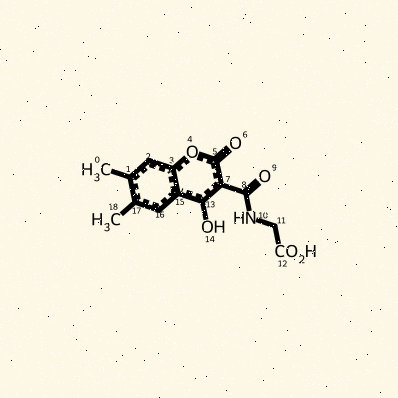 Cc1cc2oc(=O)c(C(=O)NCC(=O)O)c(O)c2cc1C